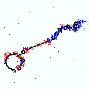 CO[C@H]1CC2CCCC(O2)C(=O)C(=O)N2CCCC[C@H]2C(=O)O[C@H](CC[C@H]2CC[C@H](OC(=O)NCCOCCOCCOCCOCCC(=O)NCc3cnc(N4CCN(c5ncc(C(=O)N6CCc7cc(CNc8ncnc(N)c8C(=N)c8ccc9oc(N)nc9c8)ccc7C6)cn5)CC4)nc3)CC2)CC(=O)[C@H](C)/C=C(\C)[C@@H](O)CC(=O)[C@H](C)C[C@H](C)/C=C/C=C/C=C/1C